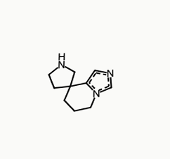 c1ncn2c1C1(CCC2)CCNC1